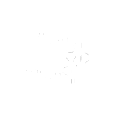 Cc1cc(C2(c3ccc(OCC(O)COCC4CO4)c(C)c3)CCc3ccccc32)ccc1OCC(O)COCC1CO1